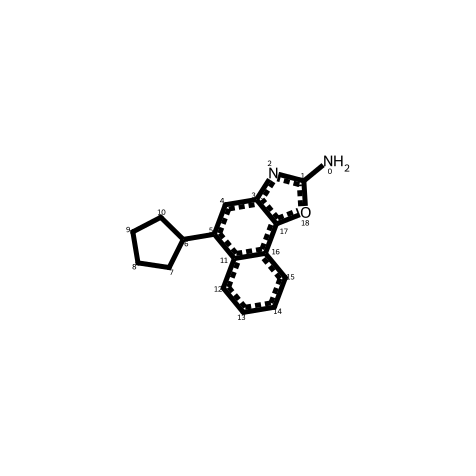 Nc1nc2cc(C3CCCC3)c3ccccc3c2o1